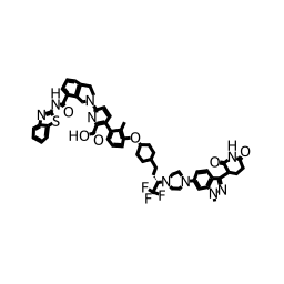 Cc1c(OC2CCC(CC[C@H](N3CCN(c4ccc5c(C6CCC(=O)NC6=O)nn(C)c5c4)CC3)C(F)(F)F)CC2)cccc1-c1ccc(N2CCc3cccc(C(=O)Nc4nc5ccccc5s4)c3C2)nc1C(=O)O